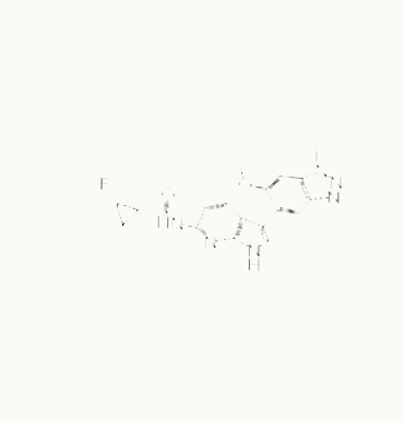 COc1cc2[nH]nnc2cc1-c1c[nH]c2nc(NC(=O)[C@@H]3C[C@@H]3F)ccc12